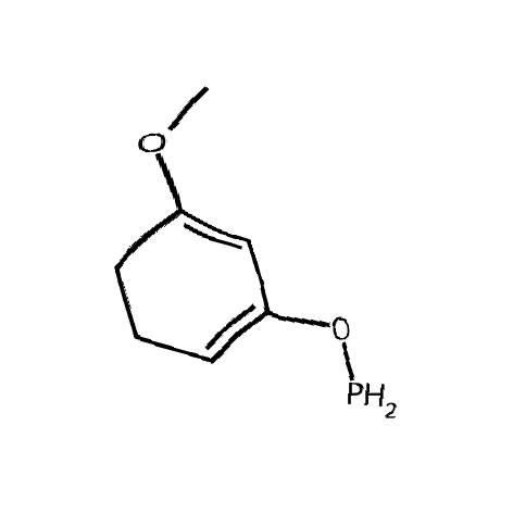 COC1=CC(OP)=CCC1